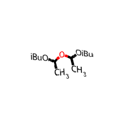 CC(C)COC(C)OC(C)OCC(C)C